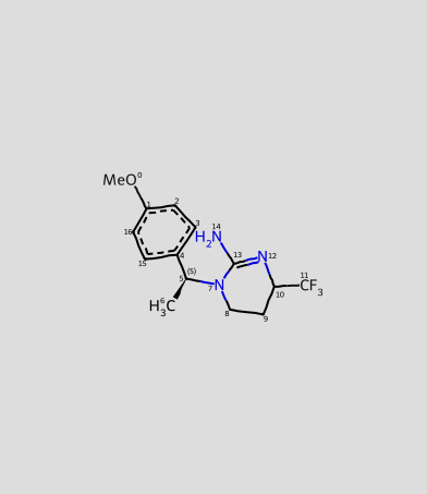 COc1ccc([C@H](C)N2CCC(C(F)(F)F)N=C2N)cc1